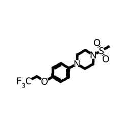 CS(=O)(=O)N1CCN(c2ccc(OCC(F)(F)F)cc2)CC1